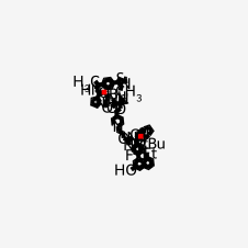 CCc1cccc2cc(O)cc(-c3ncc4c(N5CC6CCC(C5)N6C(=O)OC(C)(C)C)nc(OCCN5CCC(COC6(C(=O)NC(C(=O)N7CCCC7C(=O)NC(C)c7ccc(-c8scnc8C)cc7)C(C)(C)C)CC6)CC5)nc4c3F)c12